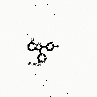 CCCCNc1cc(-c2c(-c3ccc(F)cc3)nn3c(Cl)cccc23)ccn1